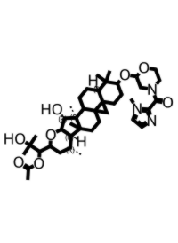 CC(=O)OC(C1C[C@@H](C)[C@H]2C(O1)[C@H](O)[C@@]1(C)C3CC[C@H]4C(C)(C)C(OC5CN(C(=O)c6nccn6C)CCO5)CCC45CC35CCC21C)C(C)(C)O